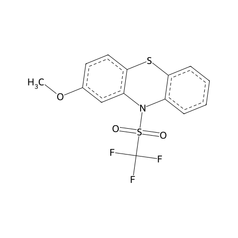 COc1ccc2c(c1)N(S(=O)(=O)C(F)(F)F)c1ccccc1S2